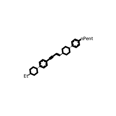 CCCCCc1ccc([C@H]2CC[C@H](C=CC#Cc3ccc([C@H]4CC[C@H](CC)CC4)cc3)CC2)cc1